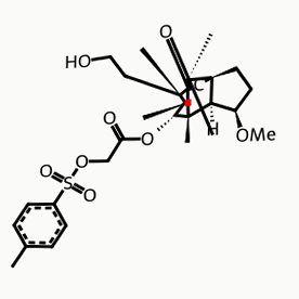 CO[C@@H]1CC[C@]23CC[C@@H](C)[C@](C)([C@H]12)[C@H](OC(=O)COS(=O)(=O)c1ccc(C)cc1)C[C@](C)(CCO)C(=O)[C@@H]3C